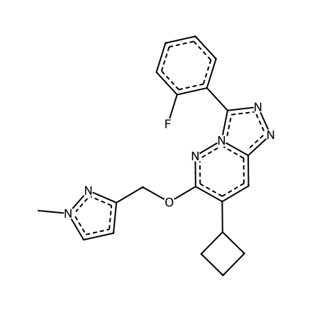 Cn1ccc(COc2nn3c(-c4ccccc4F)nnc3cc2C2CCC2)n1